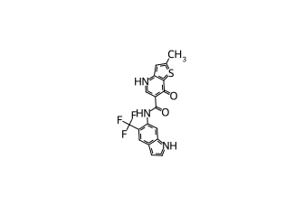 Cc1cc2[nH]cc(C(=O)Nc3cc4[nH]ccc4cc3C(F)(F)F)c(=O)c2s1